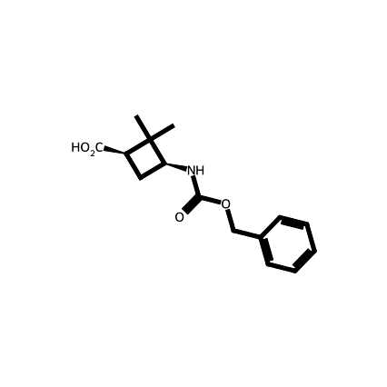 CC1(C)[C@@H](NC(=O)OCc2ccccc2)C[C@H]1C(=O)O